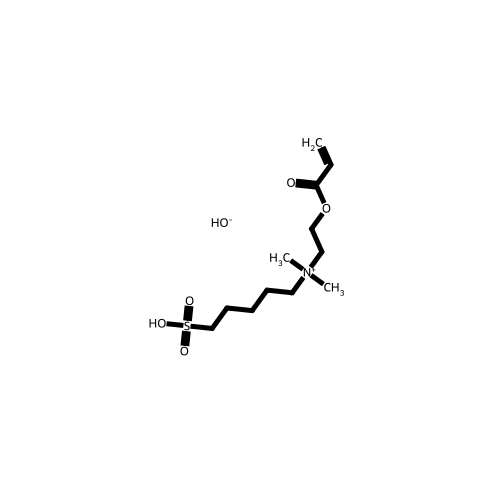 C=CC(=O)OCC[N+](C)(C)CCCCCS(=O)(=O)O.[OH-]